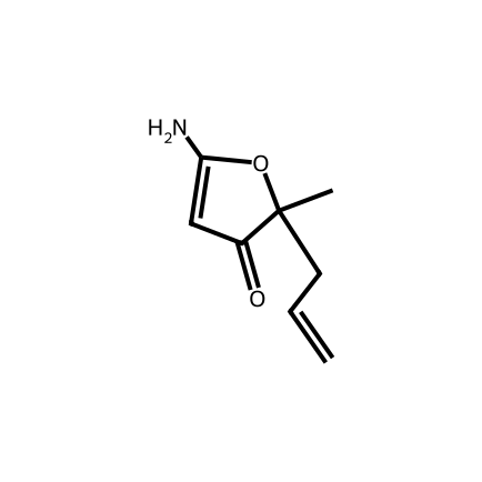 C=CCC1(C)OC(N)=CC1=O